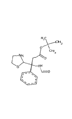 CC(C)(C)OC(=O)CC(NC=O)(c1ccccc1)C1NCCO1